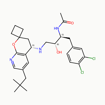 CC(=O)N[C@@H](Cc1ccc(Cl)c(Cl)c1)[C@H](O)CN[C@H]1CC2(CCC2)Oc2ncc(CC(C)(C)C)cc21